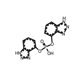 O=P(O)(Oc1cccc2[nH]nnc12)Oc1cccc2[nH]nnc12